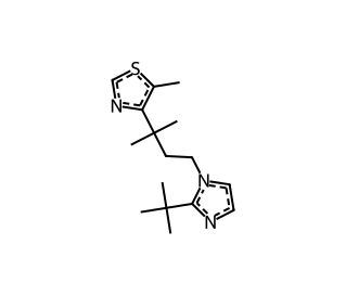 Cc1scnc1C(C)(C)CCn1ccnc1C(C)(C)C